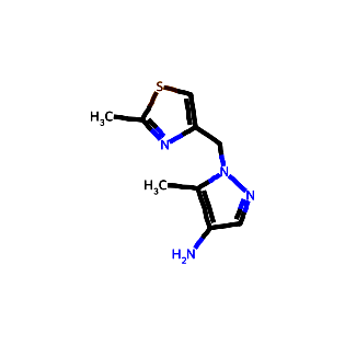 Cc1nc(Cn2ncc(N)c2C)cs1